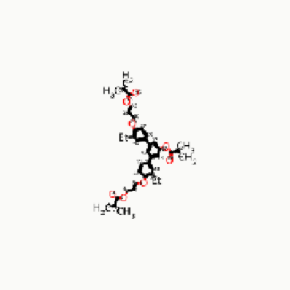 C=C(C)C(=O)OCCCOc1ccc(-c2cc(OC(=O)C(=C)C)cc(-c3ccc(OCCCOC(=O)C(=C)C)c(CC)c3)c2)cc1CC